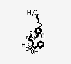 CCCCCOc1ccc(Cn2c(CC(C)(Cc3ccccc3)C(=O)O)cnc2C)c(Cl)c1